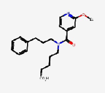 CCOc1cc(C(=O)N(CCCCC(=O)O)CCCc2ccccc2)ccn1